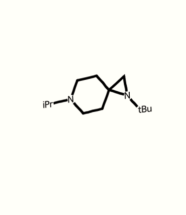 CC(C)N1CCC2(CC1)CN2C(C)(C)C